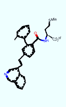 CSCC[C@H](NC(=O)c1ccc(C=Cc2cncc3ccccc23)cc1-c1ccccc1C)C(=O)O